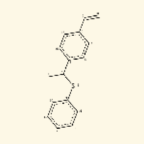 C=Cc1ccc(C(C)Sc2ccccc2)cc1